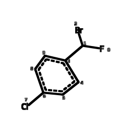 FC(Br)c1ccc(Cl)cc1